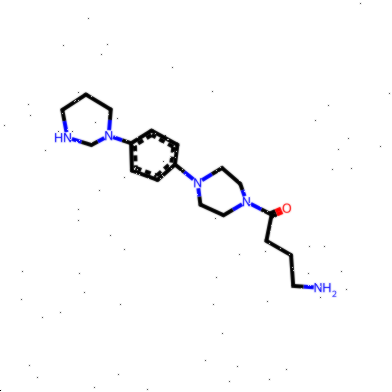 NCCCC(=O)N1CCN(c2ccc(N3CCCNC3)cc2)CC1